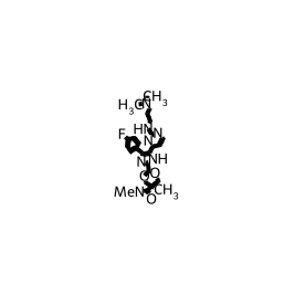 CNC(=O)C1(C)COC(c2nc(-c3ccc(F)cc3)c(-c3ccnc(NCCCN(C)C)n3)[nH]2)OC1